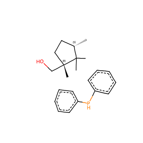 C[C@H]1CC[C@@](C)(CO)C1(C)C.c1ccc(Pc2ccccc2)cc1